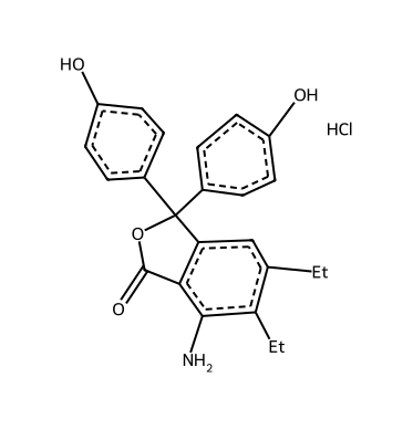 CCc1cc2c(c(N)c1CC)C(=O)OC2(c1ccc(O)cc1)c1ccc(O)cc1.Cl